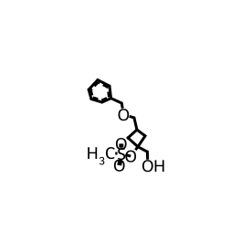 CS(=O)(=O)OC1(CO)CC(COCc2ccccc2)C1